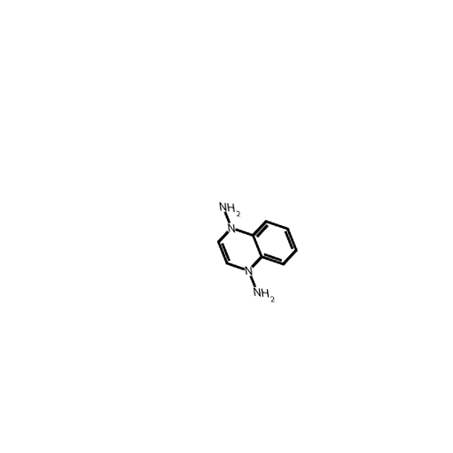 NN1C=CN(N)c2ccccc21